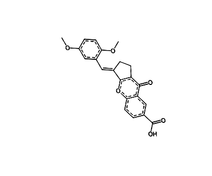 COc1ccc(OC)c(C=C2CCc3c2oc2ccc(C(=O)O)cc2c3=O)c1